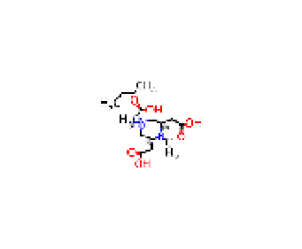 CC(=O)O.CCCC.CN1[C@@H](CC(=O)O)CNC[C@H]1CC(=O)O